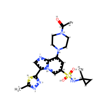 Cc1nnc(-c2cnc3c(N4CCN(C(=O)C(C)C)CC4)cc(S(=O)(=O)NC4(C#N)CC4)cn23)s1